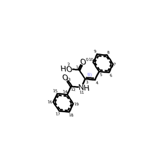 O=C(O)/C(=C\c1ccccc1)NC(=O)c1ccccc1